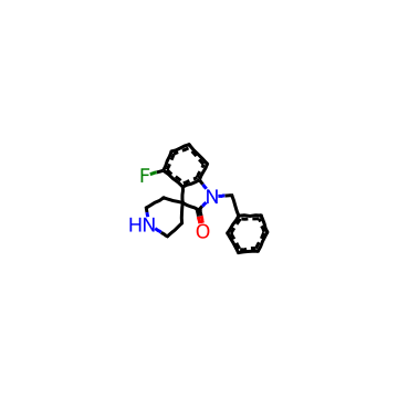 O=C1N(Cc2ccccc2)c2cccc(F)c2C12CCNCC2